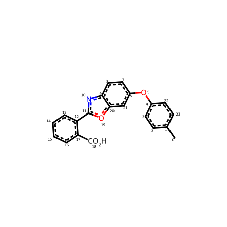 Cc1ccc(Oc2ccc3nc(-c4ccccc4C(=O)O)oc3c2)cc1